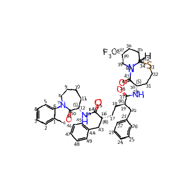 Cc1ccccc1N1CCCC[C@H](NC(=O)[C@H](CC[C@H](Cc2ccccc2)C(=O)N[C@H]2CCS[C@H]3CC[C@@H](C(F)(F)F)CN3C2=O)Cc2ccccc2)C1=O